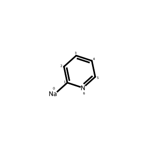 [Na][c]1ccccn1